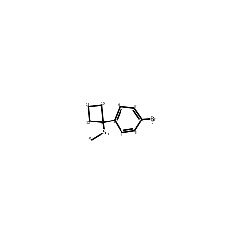 CSC1(c2ccc(Br)cc2)CCC1